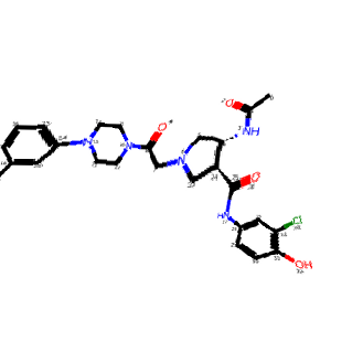 CC(=O)N[C@H]1CN(CC(=O)N2CCN(c3cccc(C)c3)CC2)C[C@@H]1C(=O)Nc1ccc(O)c(Cl)c1